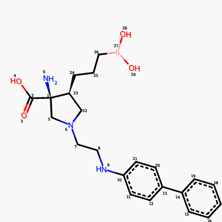 N[C@]1(C(=O)O)CN(CCNc2ccc(-c3ccccc3)cc2)C[C@@H]1CCCB(O)O